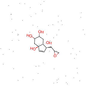 OC1C[C@@]2(O)[C@@H](CC3CO3)C=C[C@]2(O)CC1O